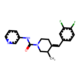 CC1CN(C(=O)Nc2cccnc2)CC/C1=C\c1ccc(F)c(F)c1